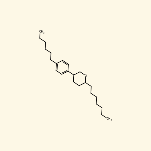 CCCCCCCC1CCC(c2ccc(CCCCCC)cc2)CO1